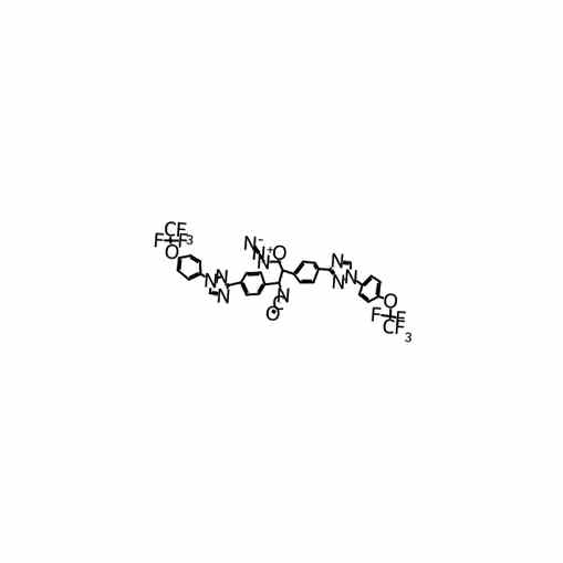 [N-]=[N+]=NC(=O)C(c1ccc(-c2ncn(-c3ccc(OC(F)(F)C(F)(F)F)cc3)n2)cc1)C(N=C=O)c1ccc(-c2ncn(-c3ccc(OC(F)(F)C(F)(F)F)cc3)n2)cc1